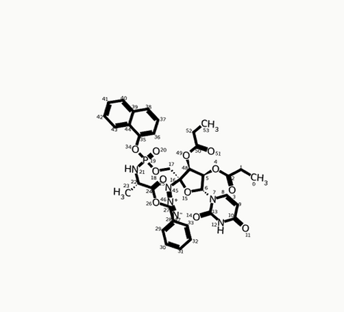 CCC(=O)O[C@H]1[C@H](n2ccc(=O)[nH]c2=O)O[C@@](COP(=O)(N[C@@H](C)C(=O)OCc2ccccc2)Oc2cccc3ccccc23)(N=[N+]=[N-])[C@H]1OC(=O)CC